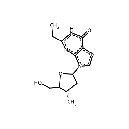 CCc1nc2c(ncn2C2C[C@H](C)C(CO)O2)c(=O)[nH]1